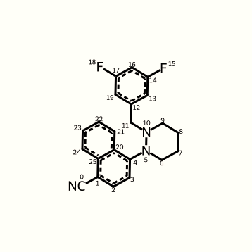 N#Cc1ccc(N2CCCCN2Cc2cc(F)cc(F)c2)c2ccccc12